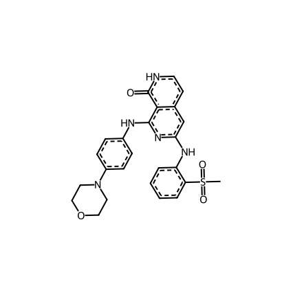 CS(=O)(=O)c1ccccc1Nc1cc2cc[nH]c(=O)c2c(Nc2ccc(N3CCOCC3)cc2)n1